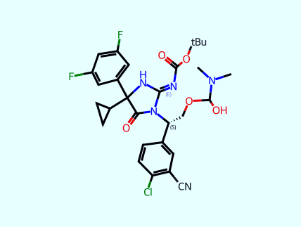 CN(C)C(O)OC[C@H](c1ccc(Cl)c(C#N)c1)N1C(=O)C(c2cc(F)cc(F)c2)(C2CC2)N/C1=N\C(=O)OC(C)(C)C